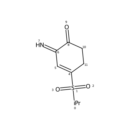 CC(C)S(=O)(=O)C1=CC(=N)C(=O)CC1